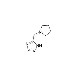 c1c[nH]c(CN2CCCC2)n1